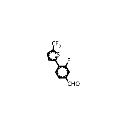 O=Cc1ccc(-c2ccc(C(F)(F)F)s2)c(F)c1